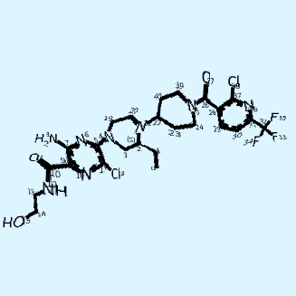 CC[C@H]1CN(c2nc(N)c(C(=O)NCCO)nc2Cl)CCN1C1CCN(C(=O)c2ccc(C(F)(F)F)nc2Cl)CC1